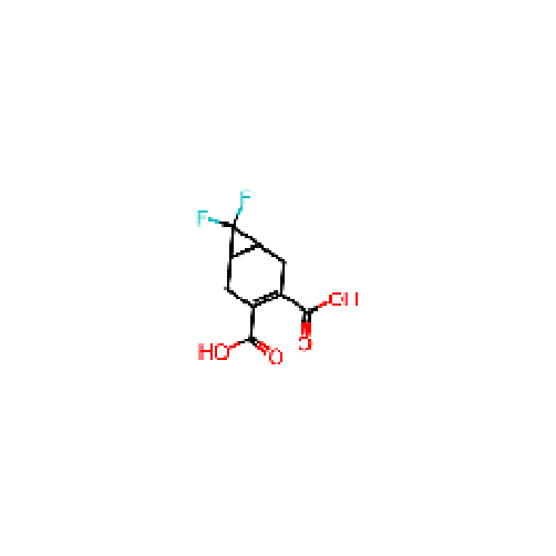 O=C(O)C1=C(C(=O)O)CC2C(C1)C2(F)F